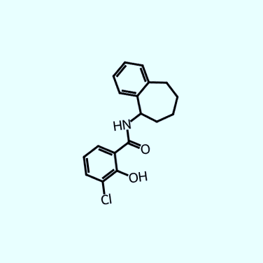 O=C(NC1CCCCc2ccccc21)c1cccc(Cl)c1O